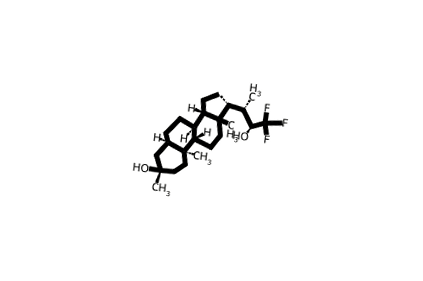 C[C@H]([C@@H](O)C(F)(F)F)[C@H]1CC[C@H]2[C@@H]3CC[C@@H]4C[C@@](C)(O)CC[C@]4(C)[C@H]3CCC12C